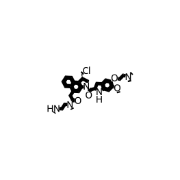 CNCCN(C)C(=O)Cc1cc2c(c3ccccc13)[C@H](CCl)CN2C(=O)C1Cc2cc(OCCN(C)C)c(OC)cc2N1